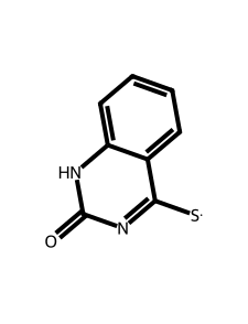 O=c1nc([S])c2ccccc2[nH]1